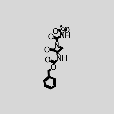 CS(=O)(=O)NC(=O)N1C[C@H](NC(=O)OCc2ccccc2)C1=O